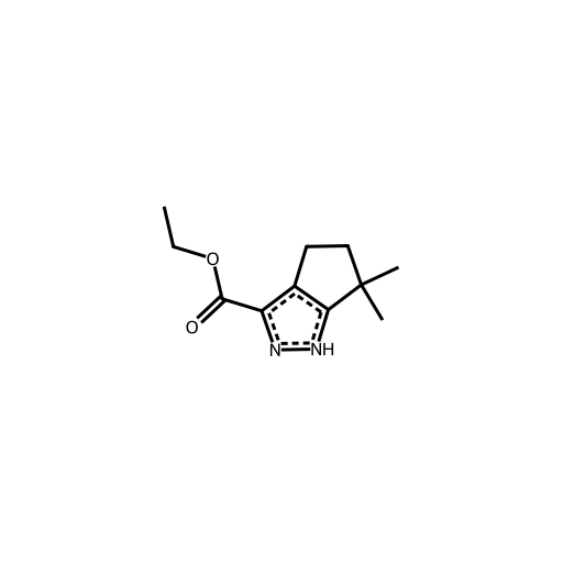 CCOC(=O)c1n[nH]c2c1CCC2(C)C